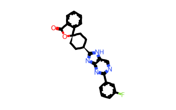 O=C1O[C@]2(CC[C@H](c3nc4nc(-c5cccc(F)c5)ncc4[nH]3)CC2)c2ccccc21